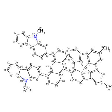 Cc1ccc(C2(c3ccc(C)cc3)c3ccccc3-c3c(-c4c5cccc(-c6ccc7c8ccccc8n(C)c7c6)c5cc5c(-c6ccc7c8ccccc8n(C)c7c6)cccc45)cccc32)cc1